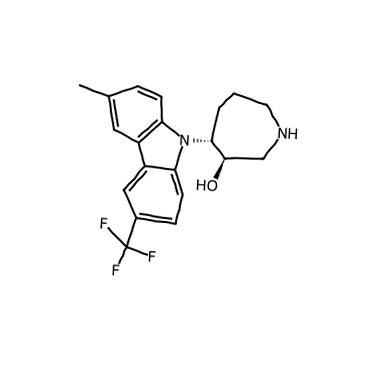 Cc1ccc2c(c1)c1cc(C(F)(F)F)ccc1n2[C@@H]1CCCNC[C@H]1O